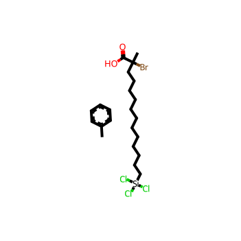 CC(Br)(CCCCCCCCCCCC[Si](Cl)(Cl)Cl)C(=O)O.Cc1ccccc1